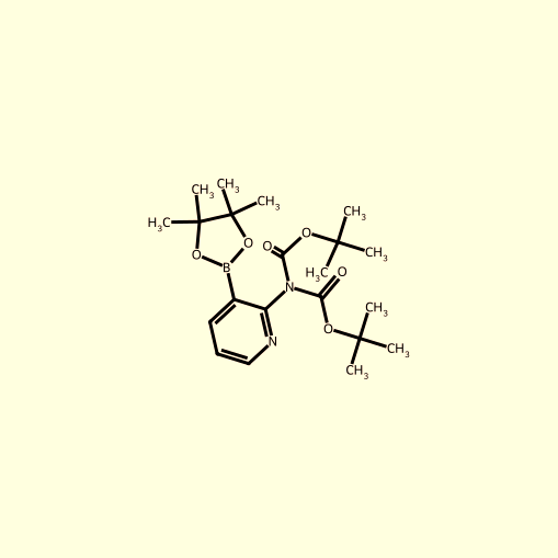 CC(C)(C)OC(=O)N(C(=O)OC(C)(C)C)c1ncccc1B1OC(C)(C)C(C)(C)O1